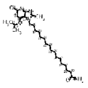 Cc1nc2nc(Cl)nc(SC(C)C)c2n1CCCCCCCCCCCCCCCCC(N)=O